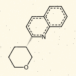 c1ccc2nc([C@H]3CCCOC3)ccc2c1